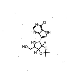 CC1(C)O[C@@H]2[C@H](O1)[C@@H](CO)N[C@@H]2c1c[nH]c2c(Cl)ncnc12